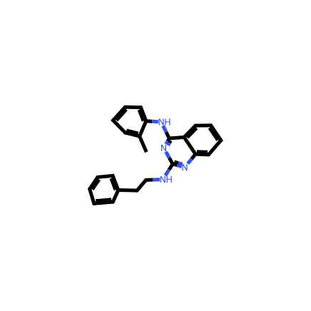 Cc1ccccc1Nc1nc(NCCc2ccccc2)nc2ccccc12